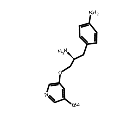 CC(C)(C)c1cncc(OC[C@@H](N)Cc2ccc(N)cc2)c1